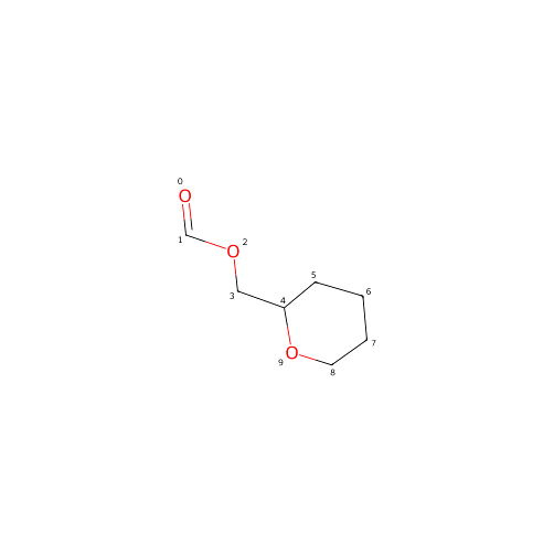 O=COCC1CCCCO1